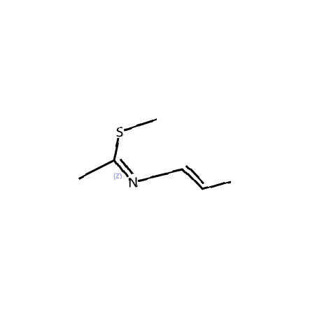 CC=C/N=C(/C)SC